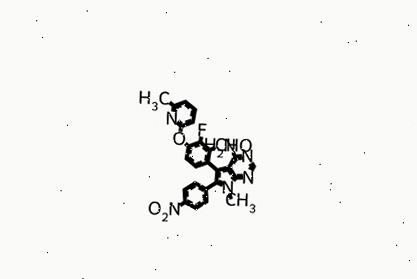 Cc1cccc(Oc2ccc(-c3c(-c4ccc([N+](=O)[O-])cc4)n(C)c4ncnc(N)c34)c(C=O)c2F)n1